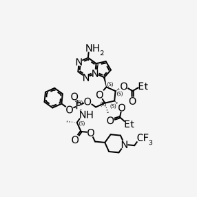 CCC(=O)O[C@H]1[C@H](c2ccc3c(N)ncnn23)O[C@](C)(CO[P@](=O)(N[C@@H](C)C(=O)OCC2CCN(CC(F)(F)F)CC2)Oc2ccccc2)[C@H]1OC(=O)CC